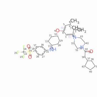 C=C/C(=C\C(=C/C(C)C)O[C@H]1CC[C@H](Nc2ccc(S(=O)(=O)C(F)(F)F)cc2)CC1)N1CCN(C(=O)CC2CCCC2)CC1